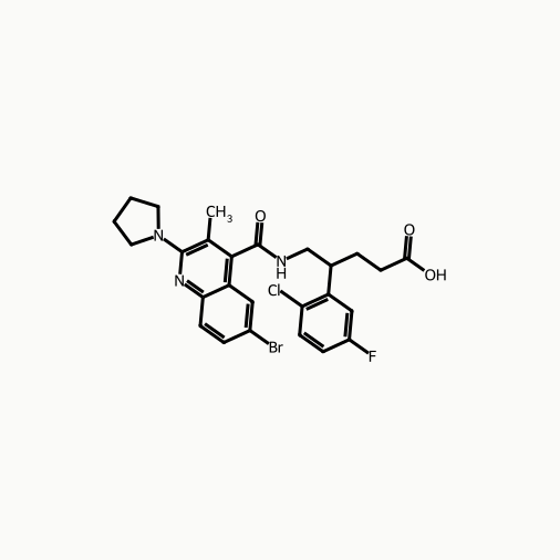 Cc1c(N2CCCC2)nc2ccc(Br)cc2c1C(=O)NCC(CCC(=O)O)c1cc(F)ccc1Cl